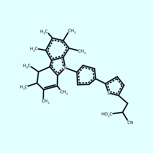 CC1=C(C)C(C)C(C)c2c1n(-c1ccc(-c3ccc(CC(C#N)C(=O)O)s3)cc1)c1c(C)c(C)c(C)c(C)c21